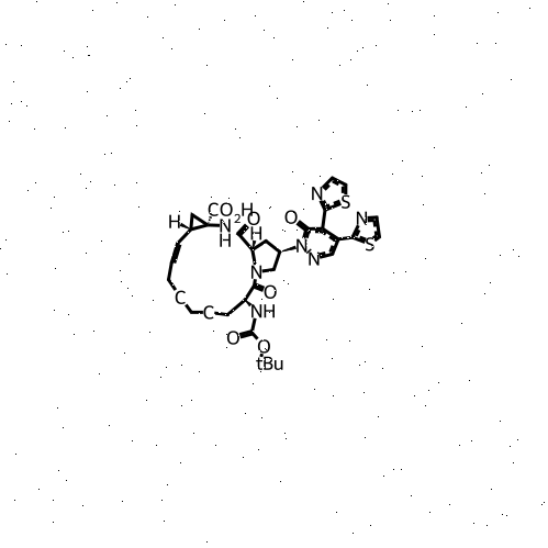 CC(C)(C)OC(=O)N[C@H]1CCCCC/C=C\[C@@H]2C[C@@]2(C(=O)O)NC(=O)[C@@H]2C[C@@H](n3ncc(-c4nccs4)c(-c4nccs4)c3=O)CN2C1=O